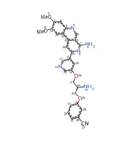 COc1cc2ncc3c(N)nc(-c4cncc(OC[C@@H](N)COc5cccc(C#N)c5)c4)cc3c2cc1OC